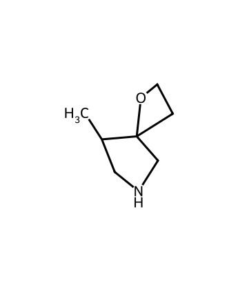 CC1CNCC12CCO2